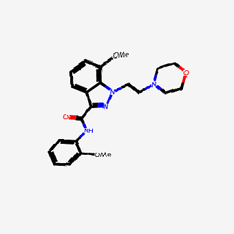 COc1ccccc1NC(=O)c1nn(CCN2CCOCC2)c2c(OC)cccc12